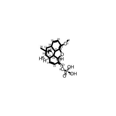 COC1=C2O[C@H]3C(=NOP(=O)(O)O)C=C[C@H]4[C@H]5CC(C=C1)C2[C@@]34CCN5C